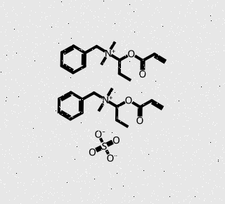 C=CC(=O)OC(CC)[N+](C)(C)Cc1ccccc1.C=CC(=O)OC(CC)[N+](C)(C)Cc1ccccc1.O=S(=O)([O-])[O-]